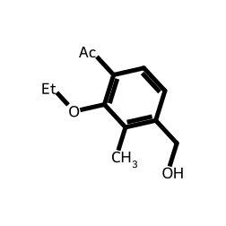 CCOc1c(C(C)=O)ccc(CO)c1C